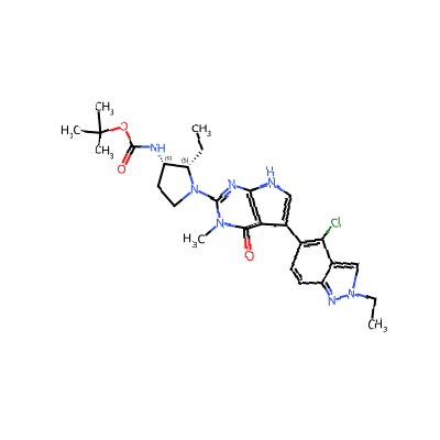 CC[C@H]1[C@@H](NC(=O)OC(C)(C)C)CCN1c1nc2[nH]cc(-c3ccc4nn(CC)cc4c3Cl)c2c(=O)n1C